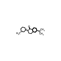 CN1CCC[C@@H](N2CCc3cc(N(C)C)ccc3C2=O)C1